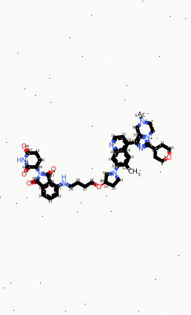 CC(=O)N1CCn2c(C3CCOCC3)nc(-c3ccnc4cc(N5CC[C@@H](OCCCCNc6cccc7c6C(=O)N(C6CCC(=O)NC6=O)C7=O)C5)c(C)cc34)c2C1